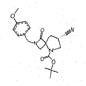 COc1ccc(CN2CC3(C[C@H](C#N)CN3C(=O)OC(C)(C)C)C2=O)cc1